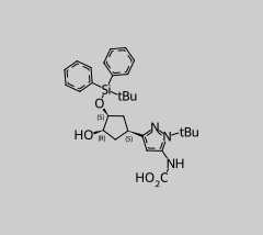 CC(C)(C)n1nc([C@H]2C[C@@H](O)[C@@H](O[Si](c3ccccc3)(c3ccccc3)C(C)(C)C)C2)cc1NC(=O)O